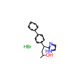 Br.CC(O)CC(c1ccc(-c2ccccc2)cc1)c1ncc[nH]1